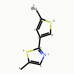 CCC(C)c1cc(-c2ncc(C)s2)cs1